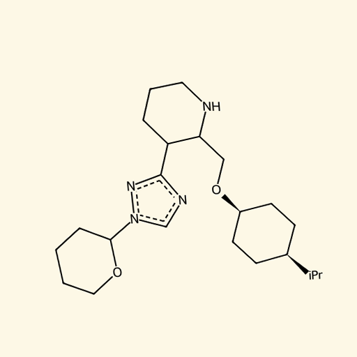 CC(C)[C@H]1CC[C@@H](OCC2NCCCC2c2ncn(C3CCCCO3)n2)CC1